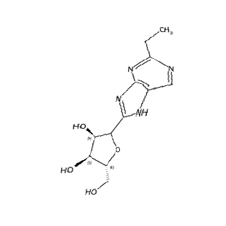 CCc1ncc2[nH]c(C3O[C@H](CO)[C@@H](O)[C@H]3O)nc2n1